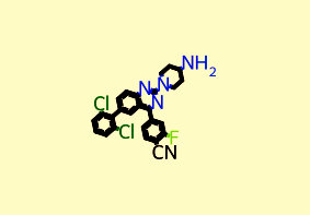 N#Cc1ccc(-c2nc(N3CCC(N)CC3)nc3ccc(-c4c(Cl)cccc4Cl)cc23)cc1F